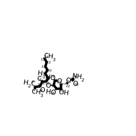 C=C(C)C(=O)C(C)C(CCCCCCC)O[C@@H]1[C@@H](O)[C@H](O)[C@@H](COC(N)=O)O[C@H]1O